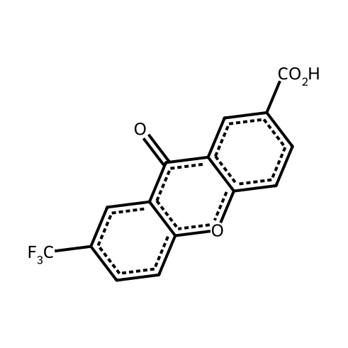 O=C(O)c1ccc2oc3ccc(C(F)(F)F)cc3c(=O)c2c1